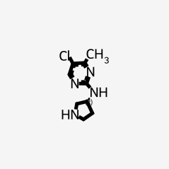 Cc1nc(N[C@@H]2CCNC2)ncc1Cl